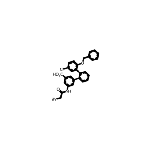 CC(C)CC(=O)Nc1cc(C(=O)O)cc(-c2ccccc2-c2cc(Cl)ccc2OCc2ccccc2)c1